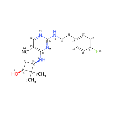 CC1(C)[C@@H](O)C[C@H]1Nc1nc(NCCc2ccc(F)cc2)ncc1C#N